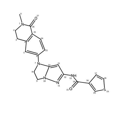 CN1CCc2cc(N3CCn4nc(NC(=O)c5ccsc5)cc43)ccc2C1=O